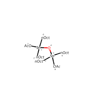 CCCCCCC[CH2][Sn]([CH2]CCCCCCC)([O]C(C)=O)[O][Sn]([CH2]CCCCCCC)([CH2]CCCCCCC)[O]C(C)=O